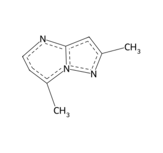 Cc1cc2nccc(C)n2n1